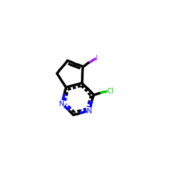 Clc1ncnc2c1C(I)=CC2